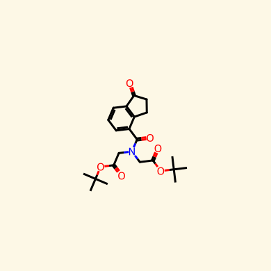 CC(C)(C)OC(=O)CN(CC(=O)OC(C)(C)C)C(=O)c1cccc2c1CCC2=O